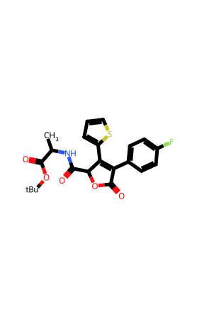 CC(NC(=O)C1OC(=O)C(c2ccc(F)cc2)=C1c1cccs1)C(=O)OC(C)(C)C